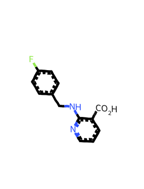 O=C(O)c1cccnc1NCc1ccc(F)cc1